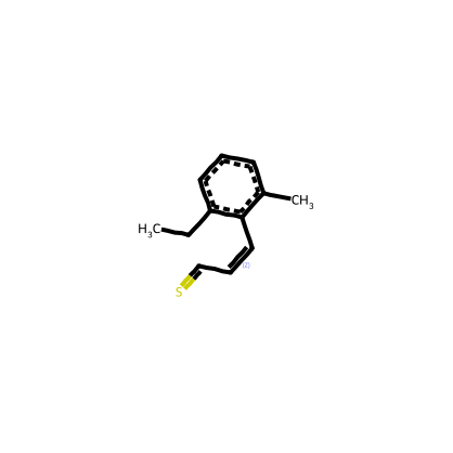 CCc1cccc(C)c1/C=C\C=S